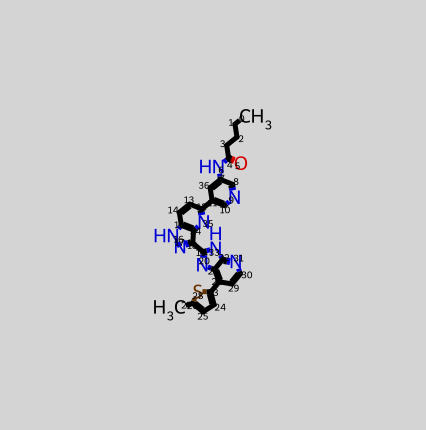 CCCCC(=O)Nc1cncc(-c2ccc3[nH]nc(-c4nc5c(-c6ccc(C)s6)ccnc5[nH]4)c3n2)c1